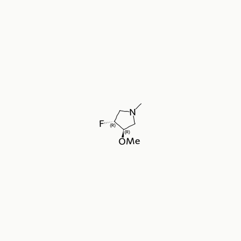 CO[C@@H]1CN(C)C[C@H]1F